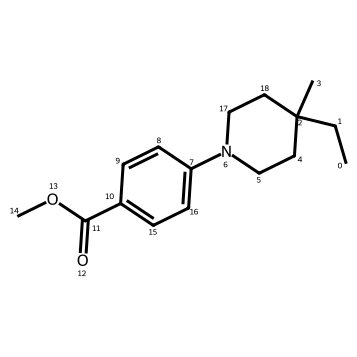 CCC1(C)CCN(c2ccc(C(=O)OC)cc2)CC1